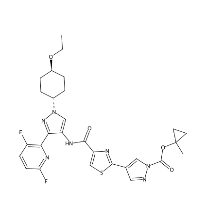 CCO[C@H]1CC[C@H](n2cc(NC(=O)c3csc(-c4cnn(C(=O)OC5(C)CC5)c4)n3)c(-c3nc(F)ccc3F)n2)CC1